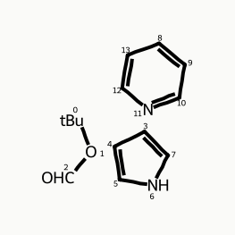 CC(C)(C)OC=O.c1cc[nH]c1.c1ccncc1